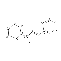 C(=Cc1ccccc1)[SiH2]C1CCOCC1